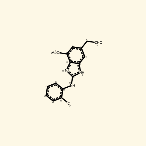 COc1cc(CC=O)cc2[nH]c(Nc3ccccc3Cl)nc12